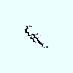 C=CCCN(CC/C=C\CCCCCCCCCCC)CC(C)CCCCCCCCCCCCCCCC